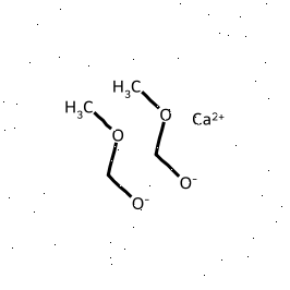 COC[O-].COC[O-].[Ca+2]